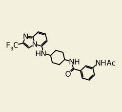 CC(=O)Nc1cccc(C(=O)NC2CCC(Nc3cccc4nc(C(F)(F)F)cn34)CC2)c1